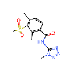 Cc1ccc(C(=O)Nc2nnnn2C)c(C)c1S(C)(=O)=O